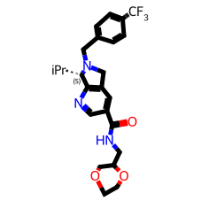 CC(C)[C@H]1c2ncc(C(=O)NCC3COCCO3)cc2CN1Cc1ccc(C(F)(F)F)cc1